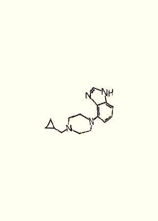 c1cc(N2CCN(CC3CC3)CC2)c2nc[nH]c2c1